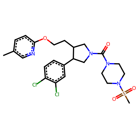 Cc1ccc(OCCC2CN(C(=O)N3CCN(S(C)(=O)=O)CC3)CC2c2ccc(Cl)c(Cl)c2)nc1